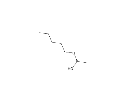 CCCCCOP(C)O